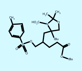 Cc1ccc(S(=O)(=O)OCC(CCC(=O)OC(C)(C)C)CC2(C(C)(C)C)COC(C)(C)N2C(=O)O)cc1